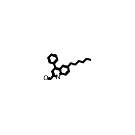 CCCCCCc1ccc2nc(C=O)cc(-c3ccccc3)c2c1